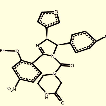 CC(C)Oc1cc([N+](=O)[O-])ccc1C1=N[C@@H](c2ccoc2)[C@@H](c2ccc(Cl)cc2)N1C(=O)N1CCNC(=O)C1